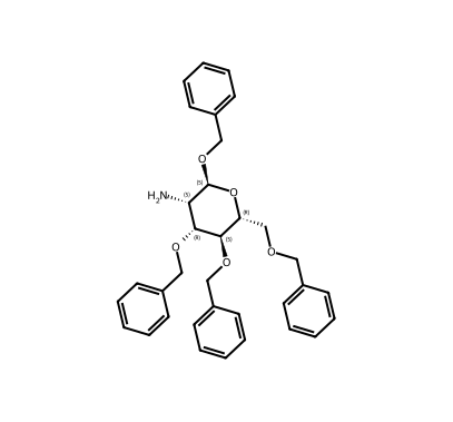 N[C@@H]1[C@@H](OCc2ccccc2)O[C@H](COCc2ccccc2)[C@@H](OCc2ccccc2)[C@@H]1OCc1ccccc1